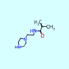 C=C(C)C(=O)NCCN1CCNCC1